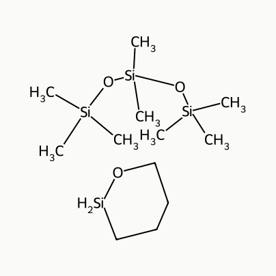 C1CC[SiH2]OC1.C[Si](C)(C)O[Si](C)(C)O[Si](C)(C)C